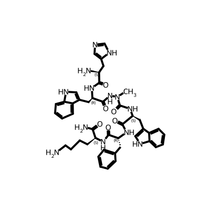 CN(NC(=O)[C@@H](Cc1c[nH]c2ccccc12)NC(=O)[C@@H](N)Cc1cnc[nH]1)C(=O)N[C@@H](Cc1c[nH]c2ccccc12)C(=O)N[C@H](Cc1ccccc1)C(=O)N[C@@H](CCCCN)C(N)=O